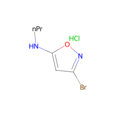 CCCNc1cc(Br)no1.Cl